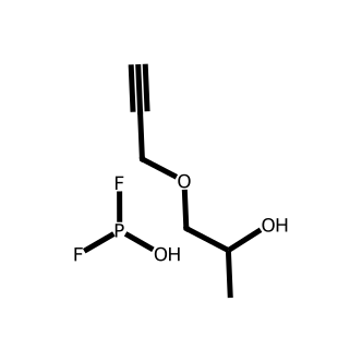 C#CCOCC(C)O.OP(F)F